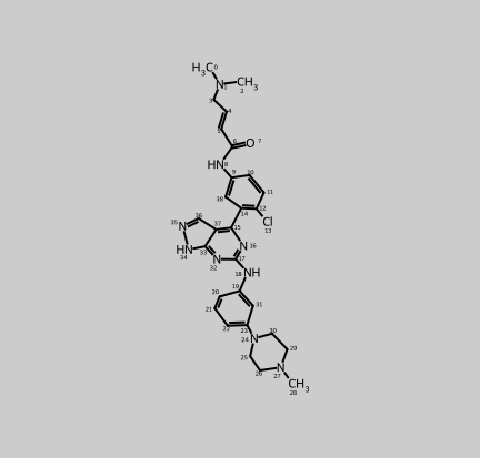 CN(C)C/C=C/C(=O)Nc1ccc(Cl)c(-c2nc(Nc3cccc(N4CCN(C)CC4)c3)nc3[nH]ncc23)c1